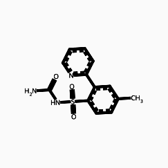 Cc1ccc(S(=O)(=O)NC(N)=O)c(-c2ccccn2)c1